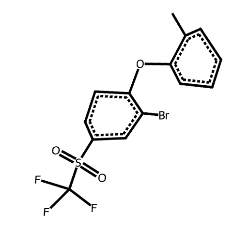 Cc1ccccc1Oc1ccc(S(=O)(=O)C(F)(F)F)cc1Br